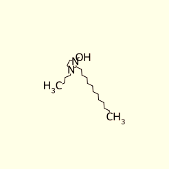 CCCCCCCCCCCCC1N(O)CCN1CCCC